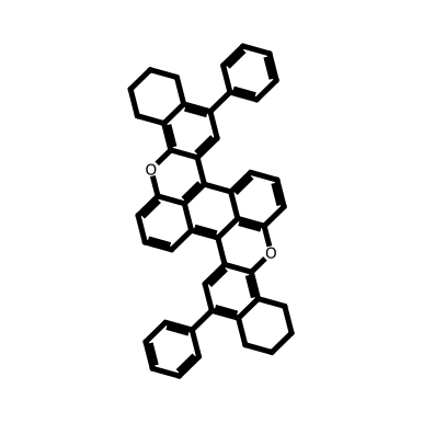 c1ccc(-c2cc3c(oc4cccc5c4c3c3cccc4oc6c7c(c(-c8ccccc8)cc6c5c43)CCCC7)c3c2CCCC3)cc1